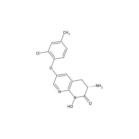 Cc1ccc(Oc2cnc3c(c2)C[C@H](N)C(=O)N3O)c(Cl)c1